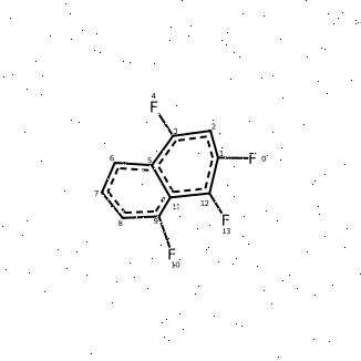 Fc1cc(F)c2cccc(F)c2c1F